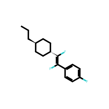 CCC[C@H]1CC[C@H](C(F)=C(F)c2ccc(F)cc2)CC1